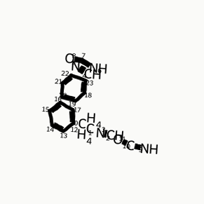 C.C.C#N.C#N.N=C=O.N=C=O.c1ccccc1.c1ccccc1